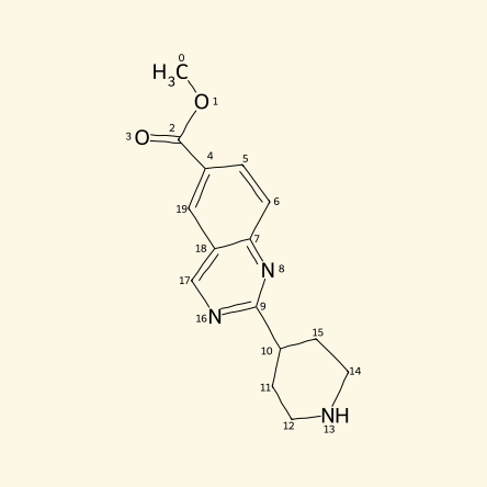 COC(=O)c1ccc2nc(C3CCNCC3)ncc2c1